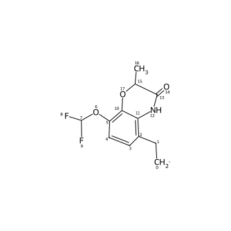 [CH2]Cc1ccc(OC(F)F)c2c1NC(=O)C(C)O2